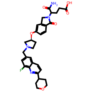 NC(=O)C(CCC(=O)O)N1Cc2cc(O[C@H]3CCN(Cc4cc(F)c5nc(C6CCOCC6)ccc5c4)C3)ccc2C1=O